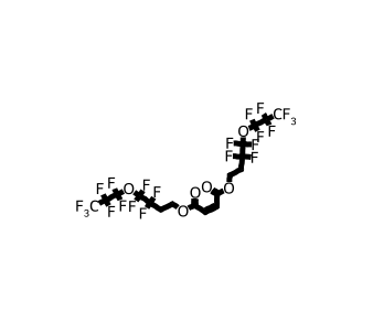 O=C(/C=C\C(=O)OCCC(F)(F)C(F)(F)OC(F)(F)C(F)(F)C(F)(F)F)OCCC(F)(F)C(F)(F)OC(F)(F)C(F)(F)C(F)(F)F